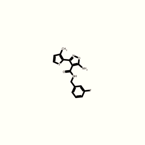 Cc1ccsc1-c1noc(N)c1C(=O)NCc1cccc(F)c1